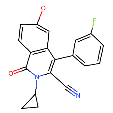 N#Cc1c(-c2cccc(F)c2)c2cc([O])ccc2c(=O)n1C1CC1